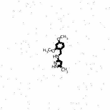 COc1ccc(CNc2cc(C)[nH]n2)c(OC)c1